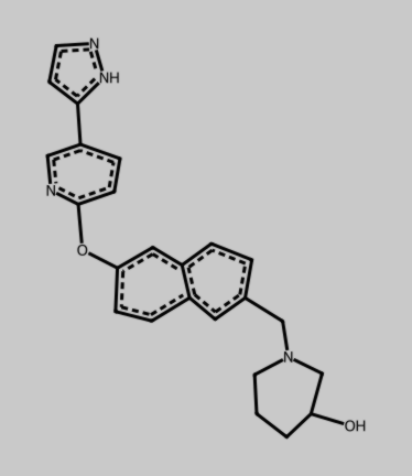 OC1CCCN(Cc2ccc3cc(Oc4ccc(-c5ccn[nH]5)cn4)ccc3c2)C1